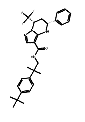 CC(C)(C)c1ccc(C(C)(C)CNC(=O)c2cnn3c2N[C@@H](c2ccccc2)C[C@H]3C(F)(F)F)cc1